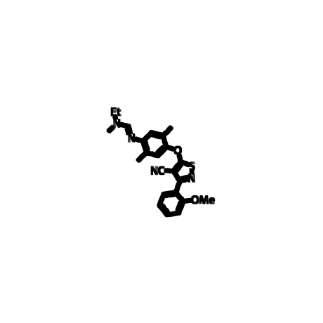 CCN(C)C=Nc1cc(C)c(Oc2snc(-c3ccccc3OC)c2C#N)cc1C